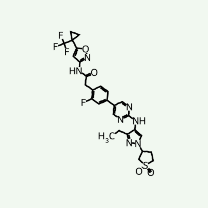 CCc1nn(C2CCS(=O)(=O)C2)cc1Nc1ncc(-c2ccc(CC(=O)Nc3cc(C4(C(F)(F)F)CC4)on3)c(F)c2)cn1